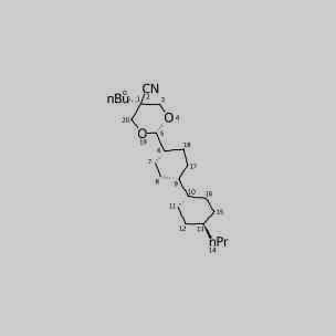 CCCC[C@]1(C#N)CO[C@H]([C@H]2CC[C@@H]([C@H]3CC[C@H](CCC)CC3)CC2)OC1